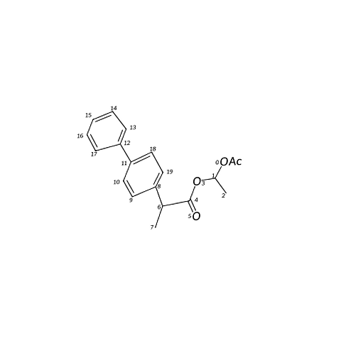 CC(=O)OC(C)OC(=O)C(C)c1ccc(-c2ccccc2)cc1